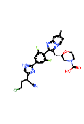 Cc1ccn2c(C[C@H]3CN(C(=O)O)CCO3)c(-c3c(F)cc(-c4nc(C(C#N)CCCl)c[nH]4)cc3F)nc2c1